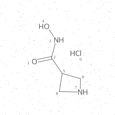 Cl.O=C(NO)C1CNC1